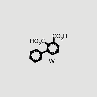 O=C(O)c1cccc(-c2ccccc2)c1C(=O)O.[W]